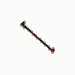 CC(OC(=O)CCOCCOCCOCCOCCOCCOCCOCCOCCOCCOCCOCCOCCN1C(=O)C=CC1=O)C1CC(=O)CCC1=O